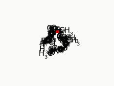 CON(C)C(=O)Nc1ccc(Oc2ccc3c(c2)OC(C)(OC)CC3(C)C)cc1.CS(=O)(=O)NC(=O)c1cc(Oc2ccc(C(F)(F)F)cc2Cl)ccc1[N+](=O)[O-]